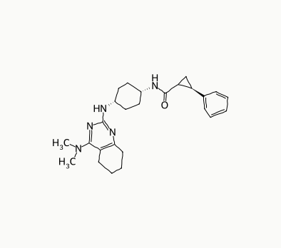 CN(C)c1nc(N[C@H]2CC[C@@H](NC(=O)C3C[C@H]3c3ccccc3)CC2)nc2c1CCCC2